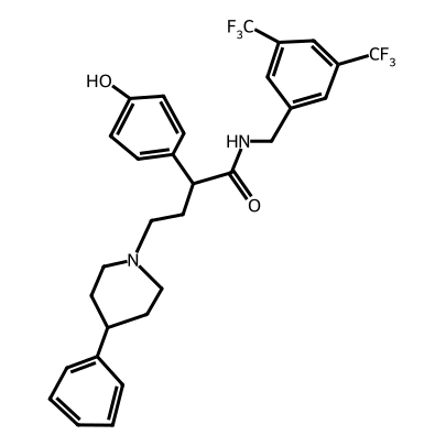 O=C(NCc1cc(C(F)(F)F)cc(C(F)(F)F)c1)C(CCN1CCC(c2ccccc2)CC1)c1ccc(O)cc1